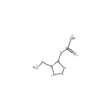 CCC1OCCC1CC(=O)O